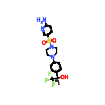 C[C@@](O)(c1ccc(N2CCN(S(=O)(=O)c3ccc(N)nc3)CC2)cc1)C(F)(F)F